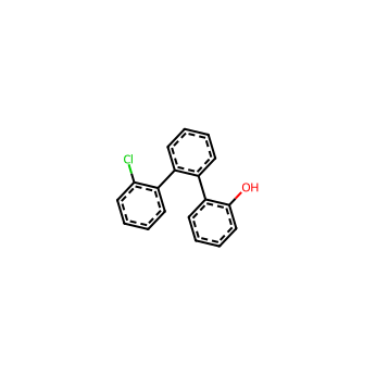 Oc1ccccc1-c1ccccc1-c1ccccc1Cl